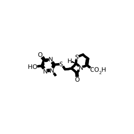 Cn1nc(O)c(=O)nc1SCC1C(=O)N2C(C(=O)O)=CCS[C@@H]12